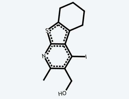 Cc1nc2sc3c(c2c(I)c1CO)CCCC3